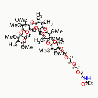 CCC(=O)NCCOCCOCCOCCO[C@H]1[C@H](OC)[C@@H](OC)[C@@H](O[C@H]2[C@H](OC)[C@@H](OC)[C@H](O[C@H]3[C@H](C)[C@@H](C)[C@@H](O[C@H]4[C@H](OC)[C@@H](OC)[C@H](O[C@H]5[C@H](OC)[C@@H](C)[C@@H](OC)O[C@@H]5CC)O[C@H]4C)O[C@@H]3CC)O[C@@H]2C)O[C@@H]1CC